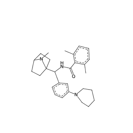 Cc1cccc(C)c1C(=O)NC(c1cccc(N2CCCCC2)c1)C12CCC(CC1)N2C